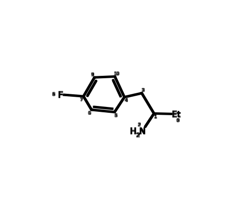 CCC(N)Cc1ccc(F)cc1